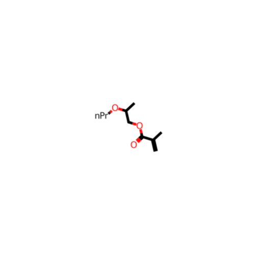 C=C(C)C(=O)OCC(C)OCCC